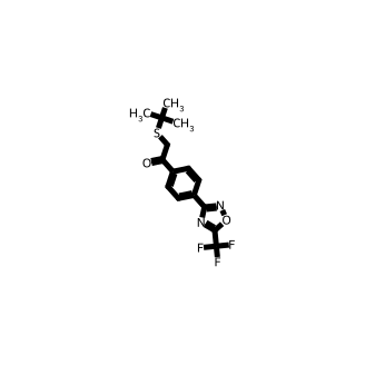 CC(C)(C)SCC(=O)c1ccc(-c2noc(C(F)(F)F)n2)cc1